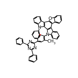 Cc1cc(-c2nc(-c3ccccc3)nc(-c3ccccc3)n2)ccc1-n1c2ccccc2c2c3c4ccccc4oc3c3c4ccccc4n(-c4ccccc4)c3c21